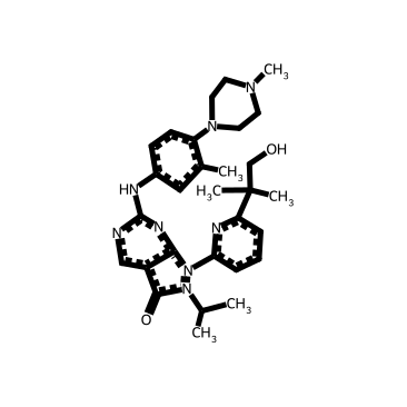 Cc1cc(Nc2ncc3c(=O)n(C(C)C)n(-c4cccc(C(C)(C)CO)n4)c3n2)ccc1N1CCN(C)CC1